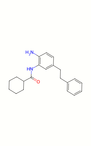 Nc1ccc(CCc2ccccc2)cc1NC(=O)C1CCCCC1